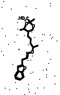 CC(CCCC1COC(C)(C(=O)O)OC1C)ON=CCc1cc2ccccc2o1